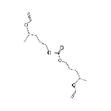 C=COC(C)CCCOC(=O)OCCCC(C)OC=C